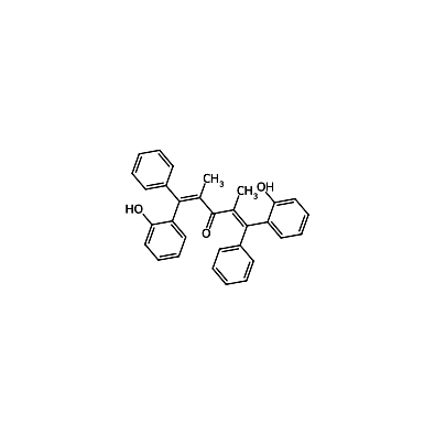 CC(C(=O)C(C)=C(c1ccccc1)c1ccccc1O)=C(c1ccccc1)c1ccccc1O